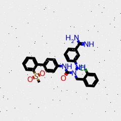 CS(=O)(=O)c1ccccc1-c1ccc(NC(=O)N(Cc2ccccc2Cl)Nc2cccc(C(=N)N)c2)cc1